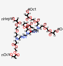 CCCCCCCCOCC(C)C(=O)OCCOC(=O)CCN(CCCOCCOC(=O)C(C)COCCCCCCC)CCNCCN(CCNCCN(CCC(=O)OCCOC(=O)C(C)COCCCCCCCC)CCC(=O)OCCOC(=O)C(C)COCCCCCCCC)CCC(=O)OCCCOC(=O)C(C)OCCCCCCCC